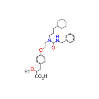 CCOC(Cc1ccc(OCCN(CCCC2CCCCC2)C(=O)NCc2ccccc2)cc1)C(=O)O